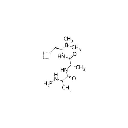 CB(C)[C@H](CC1CCC1)NC(=O)[C@H](C)NC(=O)C(C)NP